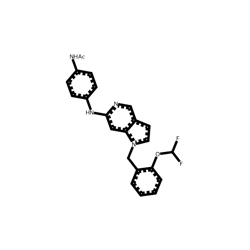 CC(=O)Nc1ccc(Nc2cc3c(ccn3Cc3ccccc3OC(F)F)cn2)cc1